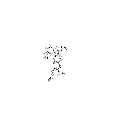 CCS(=O)(=O)[N+]1(c2ccc(Oc3ccc(C#N)cc3F)cc2)C=C(CN)C=CC1